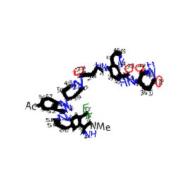 CN/C=C(\C=N)c1cc2c(cc1C(F)F)N(c1nn(C3CCN(C(=O)CCCNc4ccc(C(=O)NC5CCC(=O)NC5=O)c5ncccc45)CC3)c3c1CC(C(C)=O)CC3)CCC2